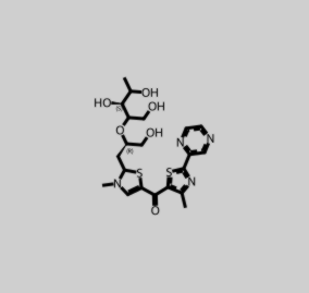 Cc1nc(-c2cnccn2)sc1C(=O)C1=CN(C)C(C[C@H](CO)OC(CO)[C@@H](O)C(C)O)S1